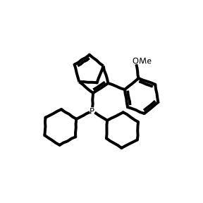 COc1ccccc1C1=C(P(C2CCCCC2)C2CCCCC2)C2C=CC1C2